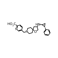 O=C(O)c1ccc(CN2CCC3(CC2)CC(NC2C[C@H]2c2ccccc2)CO3)cn1